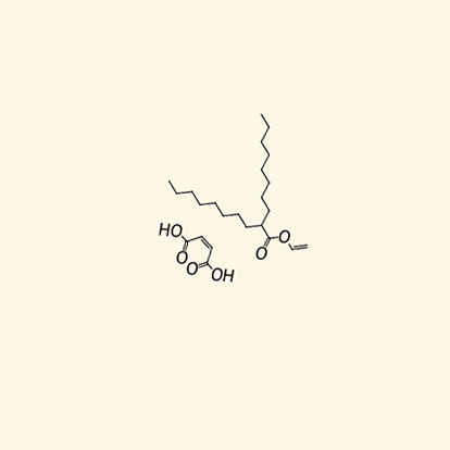 C=COC(=O)C(CCCCCCCC)CCCCCCCC.O=C(O)/C=C\C(=O)O